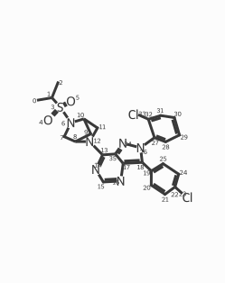 CC(C)S(=O)(=O)N1CC2CC1CN2c1ncnc2c(-c3ccc(Cl)cc3)n(-c3ccccc3Cl)nc12